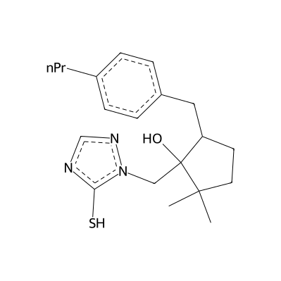 CCCc1ccc(CC2CCC(C)(C)C2(O)Cn2ncnc2S)cc1